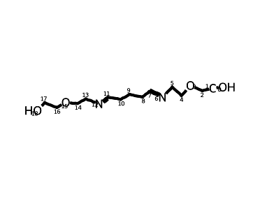 OCCOCC/N=C/CCC/C=N/CCOCCO